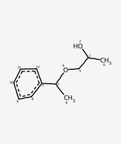 CC(O)COC(C)c1ccccc1